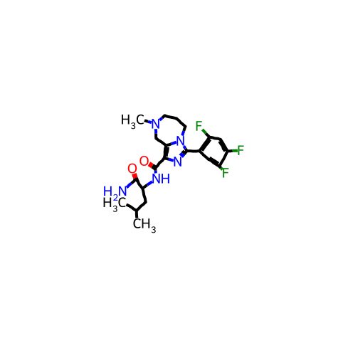 CC(C)CC(NC(=O)c1nc(-c2cc(F)c(F)cc2F)n2c1CN(C)CCC2)C(N)=O